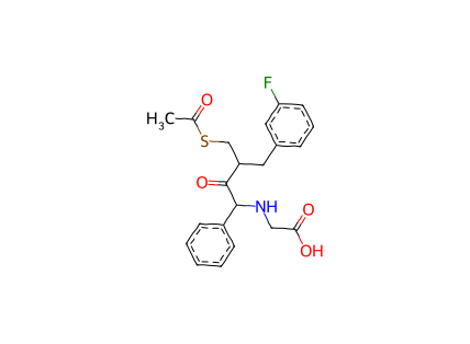 CC(=O)SCC(Cc1cccc(F)c1)C(=O)C(NCC(=O)O)c1ccccc1